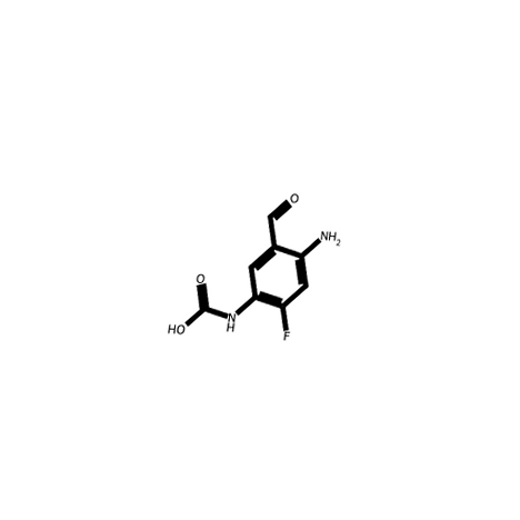 Nc1cc(F)c(NC(=O)O)cc1C=O